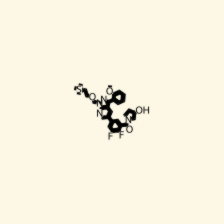 COc1ccccc1-c1nn(COCC[Si](C)(C)C)c2ncc(-c3cc(F)c(F)c(C(=O)N4CCC(O)C4)c3)cc12